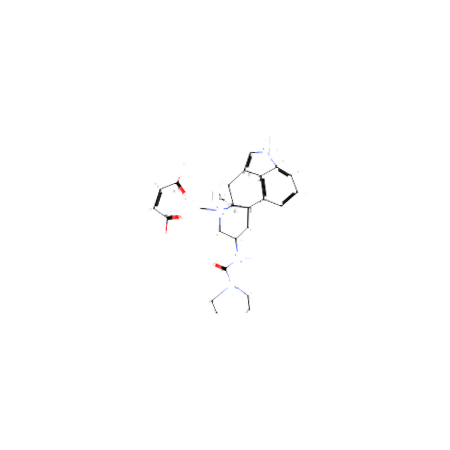 CCN(CC)C(=O)NC1CC2c3cccc4[nH]cc(c34)C[C@H]2N(C)C1.O=C(O)/C=C\C(=O)O